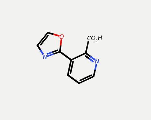 O=C(O)c1ncccc1-c1ncco1